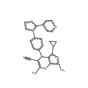 Cn1nc(C2CC2)c2c1OC(N)=C(C#N)C2c1ccc(-n2ccnc2-c2ccncc2)cc1